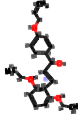 C=CCOc1ccc(C(=O)/C=C/c2c(OCC)cccc2OCC)cc1